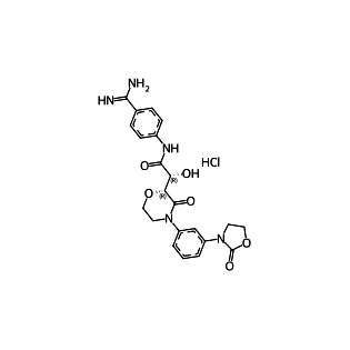 Cl.N=C(N)c1ccc(NC(=O)[C@H](O)[C@H]2OCCN(c3cccc(N4CCOC4=O)c3)C2=O)cc1